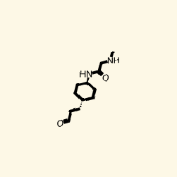 CNCC(=O)N[C@H]1CC[C@H](CCC=O)CC1